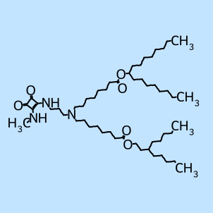 CCCCCCCCC(CCCCCCCC)OC(=O)CCCCCCCN(CCCCCCCC(=O)OCCC(CCCCC)CCCCC)CCCNc1c(NC)c(=O)c1=O